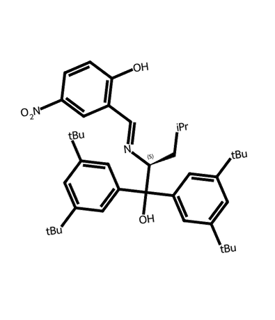 CC(C)C[C@H](N=Cc1cc([N+](=O)[O-])ccc1O)C(O)(c1cc(C(C)(C)C)cc(C(C)(C)C)c1)c1cc(C(C)(C)C)cc(C(C)(C)C)c1